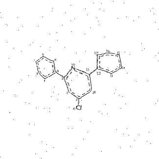 Clc1cc(-c2ccccc2)nc(-c2ccccc2)c1